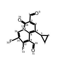 O=Cc1cc(C2CC2)c2c(C=O)c(F)c(F)cn2c1=O